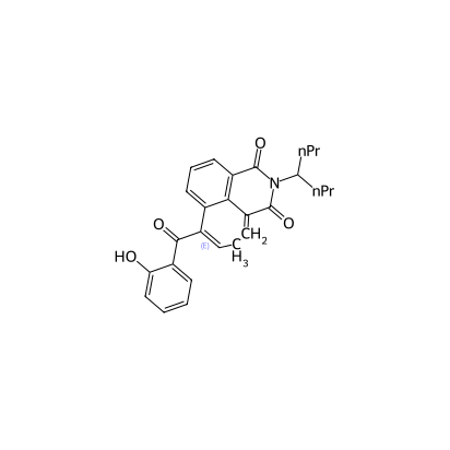 C=C1C(=O)N(C(CCC)CCC)C(=O)c2cccc(/C(=C\C)C(=O)c3ccccc3O)c21